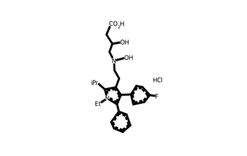 CCn1c(-c2ccccc2)c(-c2ccc(F)cc2)c(CCN(O)CC(O)CC(=O)O)c1C(C)C.Cl